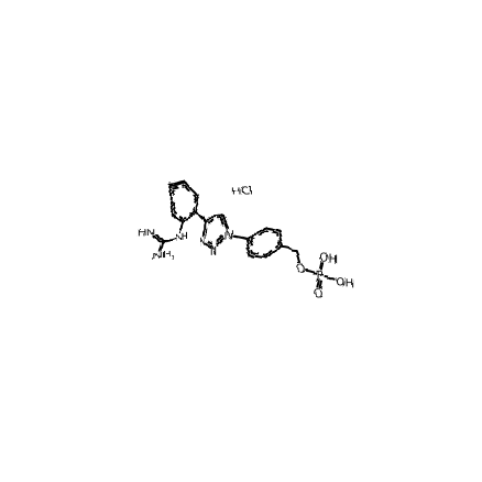 Cl.N=C(N)Nc1ccccc1-c1cn(-c2ccc(COP(=O)(O)O)cc2)nn1